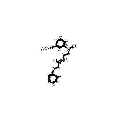 CCN(CCNC(=O)COc1ccccc1)c1cccc(NC(C)=O)c1